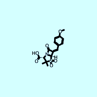 COc1ccc(/C=C2\C(=O)N3[C@@H](C(=O)O)C(C)(C)S(=O)(=O)[C@H]23)cc1